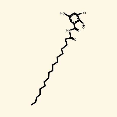 CCCCCCCCCCCCCCCCCC(=O)NC(=O)c1cc(O)cc(O)c1I=O